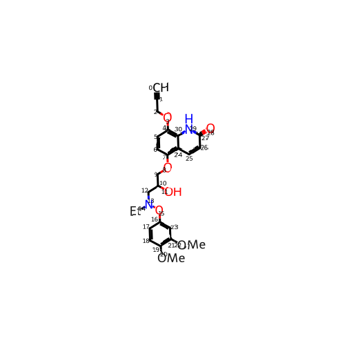 C#CCOc1ccc(OCC(O)CN(CC)Oc2ccc(OC)c(OC)c2)c2ccc(=O)[nH]c12